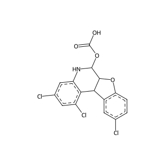 O=C(O)OC1Nc2cc(Cl)cc(Cl)c2C2c3cc(Cl)ccc3OC12